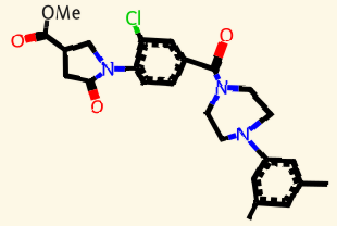 COC(=O)C1CC(=O)N(c2ccc(C(=O)N3CCN(c4cc(C)cc(C)c4)CC3)cc2Cl)C1